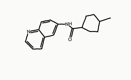 CC1CCC(C(=O)Nc2ccc3ncccc3c2)CC1